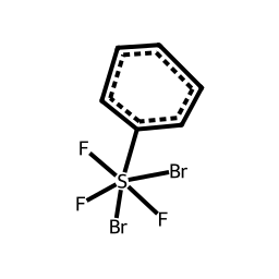 FS(F)(F)(Br)(Br)c1ccccc1